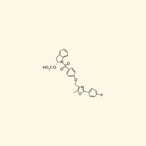 Cc1oc(-c2ccc(F)cc2)nc1COc1ccc(S(=O)(=O)N2c3ccccc3C[C@H]2OC(=O)O)cc1